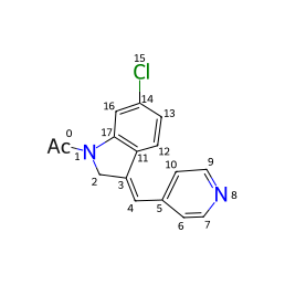 CC(=O)N1C/C(=C/c2ccncc2)c2ccc(Cl)cc21